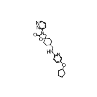 O=C1O[C@]2(CC[C@H](CNc3ccc(OC4CCCC4)cn3)CC2)CN1c1cccnn1